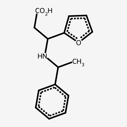 CC(NC(CC(=O)O)c1ccco1)c1ccccc1